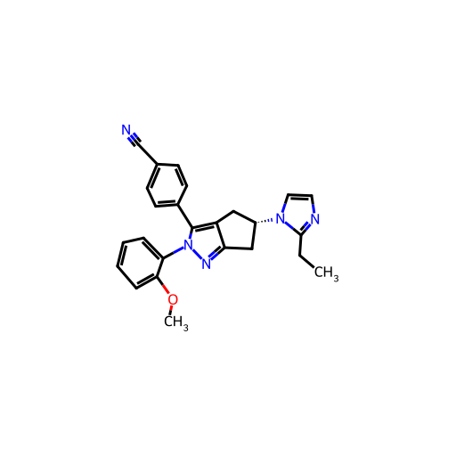 CCc1nccn1[C@@H]1Cc2nn(-c3ccccc3OC)c(-c3ccc(C#N)cc3)c2C1